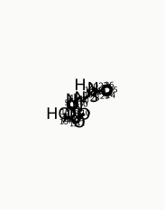 C[C@H](Nc1nccc(N2C(=O)OCC2[C@@H](C)O)n1)c1cnc(-c2ccccc2)s1